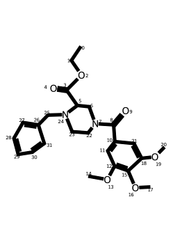 CCOC(=O)C1CN(C(=O)c2cc(OC)c(OC)c(OC)c2)CCN1Cc1ccccc1